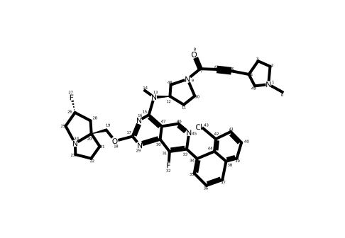 CN1CCC(C#CC(=O)N2CC[C@@H](N(C)c3nc(OC[C@@]45CCCN4C[C@H](F)C5)nc4c(F)c(-c5cccc6cccc(Cl)c56)ncc34)C2)C1